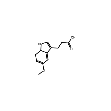 COC1=CCC2NC=C(CCC(=O)O)C2=C1